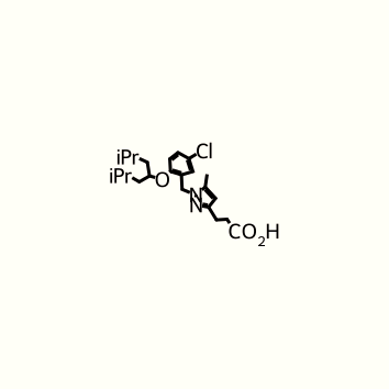 Cc1cc(CCC(=O)O)nn1Cc1cc(Cl)ccc1OC(CC(C)C)CC(C)C